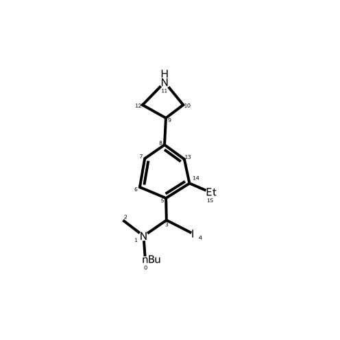 CCCCN(C)C(I)c1ccc(C2CNC2)cc1CC